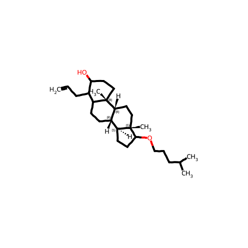 C=CCC1C(O)CC[C@@]2(C)C1CC[C@@H]1[C@H]2CC[C@]2(C)C(OCCCC(C)C)CC[C@@H]12